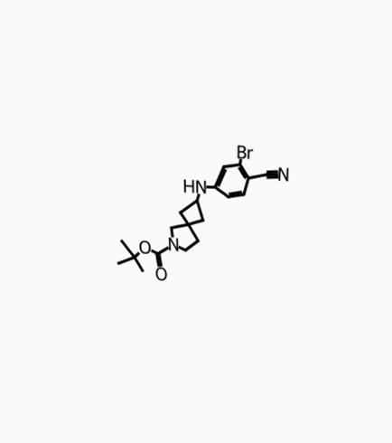 CC(C)(C)OC(=O)N1CCC2(CC(Nc3ccc(C#N)c(Br)c3)C2)C1